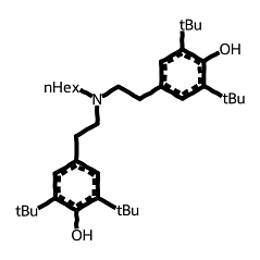 CCCCCCN(CCc1cc(C(C)(C)C)c(O)c(C(C)(C)C)c1)CCc1cc(C(C)(C)C)c(O)c(C(C)(C)C)c1